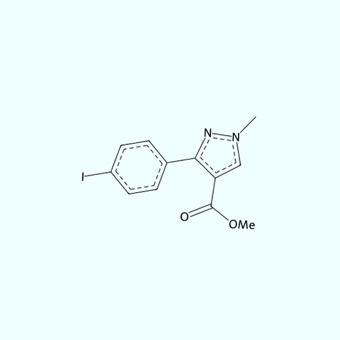 COC(=O)c1cn(C)nc1-c1ccc(I)cc1